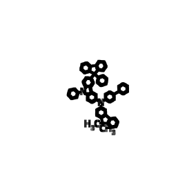 CC1(C)c2ccccc2-c2cc(N(c3ccc(-c4ccccc4)cc3)c3ccc4c(c3)c3cc(C5(c6ccccc6)c6ccccc6-c6ccccc65)ccc3n4-c3ccccc3)ccc21